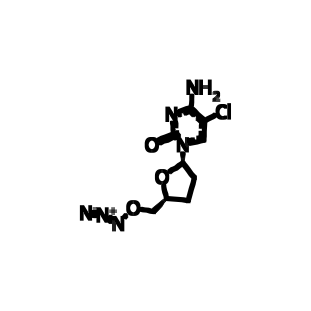 [N-]=[N+]=NOC[C@@H]1CC[C@H](n2cc(Cl)c(N)nc2=O)O1